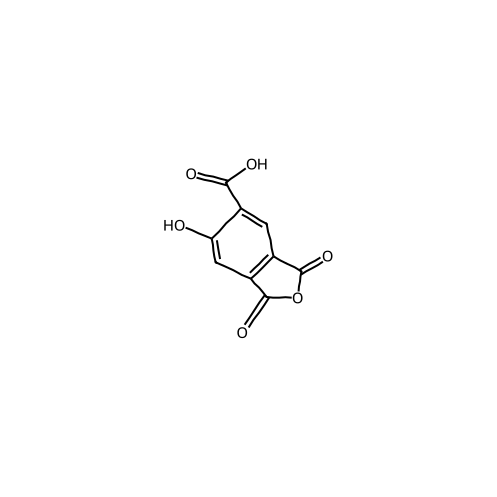 O=C(O)c1cc2c(cc1O)C(=O)OC2=O